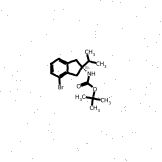 CC(C)[C@]1(NC(=O)OC(C)(C)C)Cc2cccc(Br)c2C1